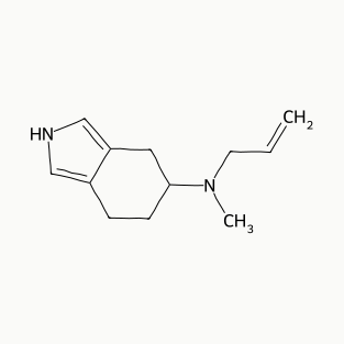 C=CCN(C)C1CCc2c[nH]cc2C1